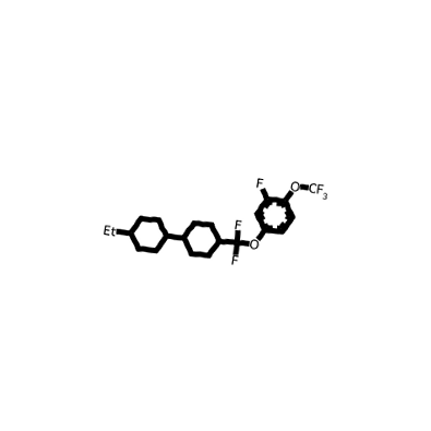 CCC1CCC(C2CCC(C(F)(F)Oc3ccc(OC(F)(F)F)c(F)c3)CC2)CC1